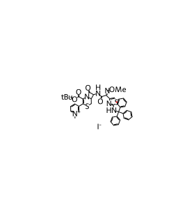 CON=C(C(=O)NC1C(=O)N2C(C(=O)OC(C)(C)C)=C(c3ccc[n+](C)c3)SCC12)c1csc(NC(c2ccccc2)(c2ccccc2)c2ccccc2)n1.[I-]